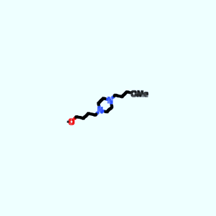 COCCCN1CCN(CCCC[O])CC1